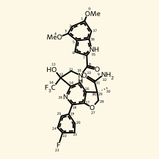 COc1cc(OC)c2cc(C(=O)NCC(O)(c3cc4c(c(-c5ccc(F)cc5)n3)OC[C@]4(C)C(N)=O)C(F)(F)F)[nH]c2c1